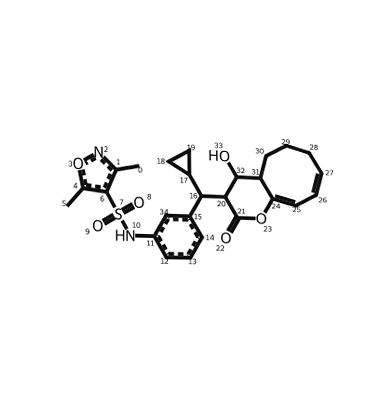 Cc1noc(C)c1S(=O)(=O)Nc1cccc(C(C2CC2)C2C(=O)OC3=CC=CCCCC3C2O)c1